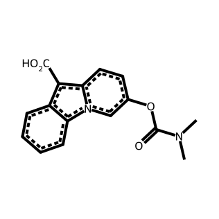 CN(C)C(=O)Oc1ccc2c(C(=O)O)c3ccccc3n2c1